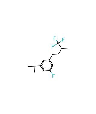 CC(CCc1cc(F)cc(C(C)(C)C)c1)C(F)(F)F